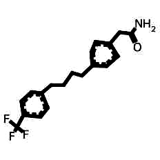 NC(=O)Cc1ccc(CCCCc2ccc(C(F)(F)F)cc2)cc1